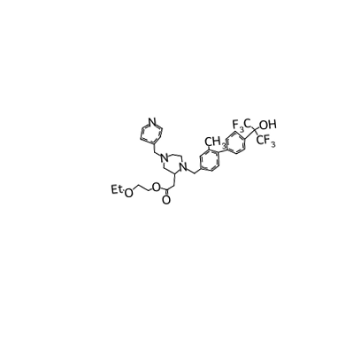 CCOCCOC(=O)CC1CN(Cc2ccncc2)CCN1Cc1ccc(-c2ccc(C(O)(C(F)(F)F)C(F)(F)F)cc2)c(C)c1